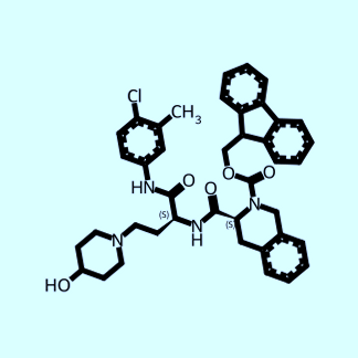 Cc1cc(NC(=O)[C@H](CCN2CCC(O)CC2)NC(=O)[C@@H]2Cc3ccccc3CN2C(=O)OCC2c3ccccc3-c3ccccc32)ccc1Cl